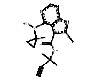 C#CC(C)(C)NC(=O)c1c(C)oc2ncnc(N(O)C3(C)CC3)c12